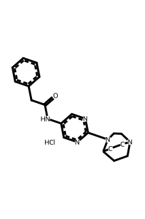 Cl.O=C(Cc1ccccc1)Nc1cnc(N2CCN3CCC2CC3)nc1